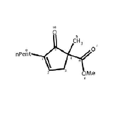 CCCCCC1=CCC(C)(C(=O)OC)C1=O